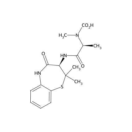 C[C@@H](C(=O)N[C@@H]1C(=O)Nc2ccccc2SC1(C)C)N(C)C(=O)O